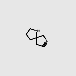 C1#[N+]CC2(C1)CCCN2